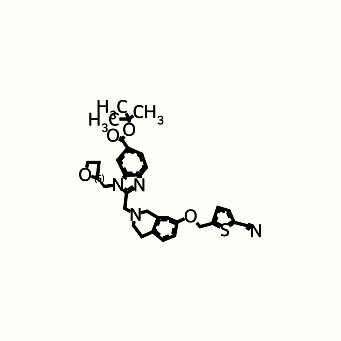 CC(C)(C)OC(=O)c1ccc2nc(CN3CCc4ccc(OCc5ccc(C#N)s5)cc4C3)n(C[C@@H]3CCO3)c2c1